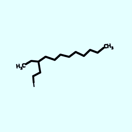 CCCCCCCCCC(CC)CCI